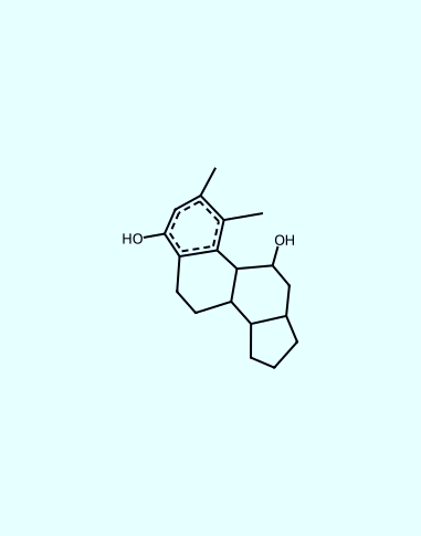 Cc1cc(O)c2c(c1C)C1C(O)CC3CCCC3C1CC2